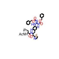 CC(=O)NC(CC(C)C)C(=O)NC(Cc1ccc(NC(=NC(=O)OCc2ccccc2)NC(=O)OCc2ccccc2)cc1)C(=O)c1nccs1